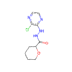 O=C(NNc1nccnc1Cl)C1CCCCO1